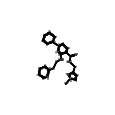 Cn1ccc(CNC(=O)c2ccc(-c3ccccc3)nc2NCCc2ccccn2)n1